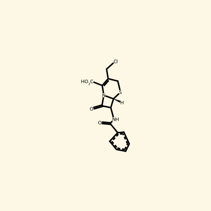 O=C(O)C1=C(CCl)CS[C@@H]2C(NC(=O)c3ccccc3)C(=O)N12